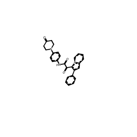 O=C1CCN(c2ccc(NC(=O)C(=O)c3c(-c4ccccc4)cc4ccccn34)cc2)CC1